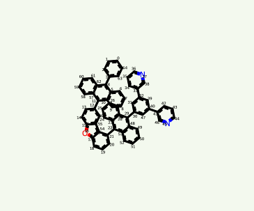 c1ccc(-c2c3ccccc3c(-c3ccc4oc5cccc(-c6c7ccccc7c(-c7cc(-c8cccnc8)cc(-c8cccnc8)c7)c7ccccc67)c5c4c3)c3ccccc23)cc1